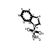 NS(=O)(=O)N1CSc2ccccc21